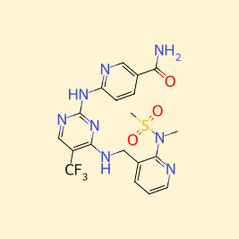 CN(c1ncccc1CNc1nc(Nc2ccc(C(N)=O)cn2)ncc1C(F)(F)F)S(C)(=O)=O